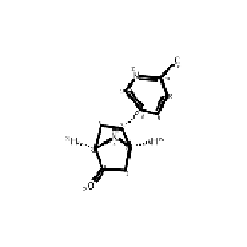 O=C1C[C@H]2N[C@@H]1C[C@@H]2c1ccc(Cl)nc1